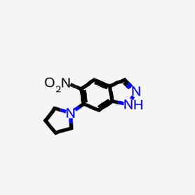 O=[N+]([O-])c1cc2cn[nH]c2cc1N1CCCC1